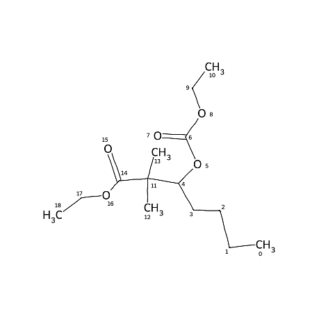 CCCCC(OC(=O)OCC)C(C)(C)C(=O)OCC